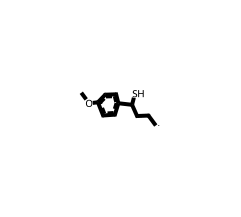 [CH2]CCC(S)c1ccc(OC)cc1